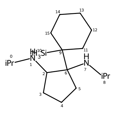 CC(C)NC1CCCC1(NC(C)C)C1([SiH3])CCCCC1